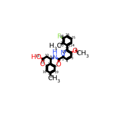 COc1ccc(C(=O)NC(CC(=O)O)c2ccc(C)cc2)nc1-c1cccc(F)c1C